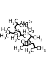 CC(C)C[BH-](CC(C)C)CC(C)C.CC(C)C[BH-](CC(C)C)CC(C)C.[Mg+2]